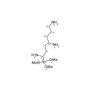 CO[Si](OC)(OC)C(N)CCC(N)CCCN